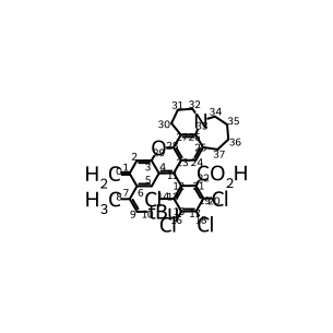 C=c1cc2c(cc1/C(C)=C\C(C)(C)C)=C(c1c(Cl)c(Cl)c(Cl)c(Cl)c1C(=O)O)c1cc3c4c(c1O2)CCCN4CCCC3